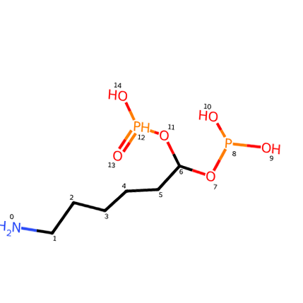 NCCCCCC(OP(O)O)O[PH](=O)O